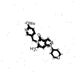 COc1ccc(Cn2c(C)cc3c(cnn3C3CCOCC3)c2=O)cn1